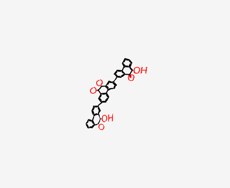 O=C1C(=O)c2cc(-c3ccc4c(c3)C(O)C(=O)c3ccccc3-4)ccc2-c2ccc(-c3ccc4c(c3)C(=O)C(O)c3ccccc3-4)cc21